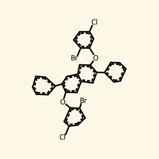 Clc1ccc(Br)c(Oc2cc3cc(-c4ccccc4)c(Oc4cc(Cl)ccc4Br)cc3cc2-c2ccccc2)c1